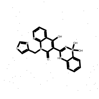 O=c1c(C2=NS(O)(O)c3ccccc3N2)c(O)c2cccnc2n1Cc1cscn1